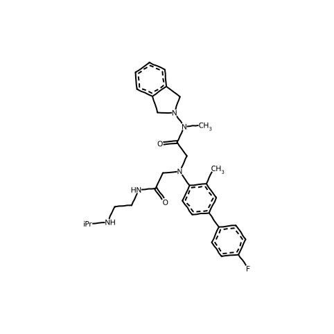 Cc1cc(-c2ccc(F)cc2)ccc1N(CC(=O)NCCNC(C)C)CC(=O)N(C)N1Cc2ccccc2C1